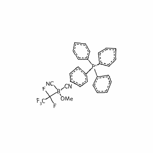 CO[B-](C#N)(C#N)C(F)(F)C(F)(F)F.c1ccc([P+](c2ccccc2)(c2ccccc2)c2ccccc2)cc1